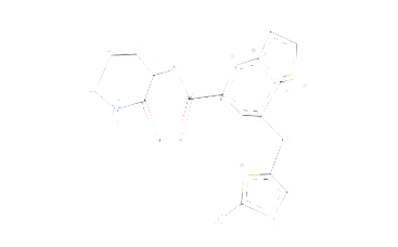 Cc1ncc(Cc2cc(C(=O)NC3CCCNC3=O)nc3ccsc23)s1